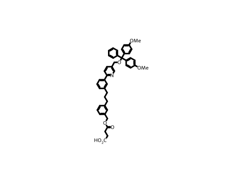 COc1ccc(C(OCc2ccc(-c3cccc(CCCc4cccc(COC(=O)CCC(=O)O)c4)c3)nc2)(c2ccccc2)c2ccc(OC)cc2)cc1